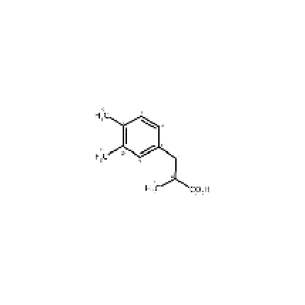 Cc1ccc(CC(C)C(=O)O)cc1C(F)(F)F